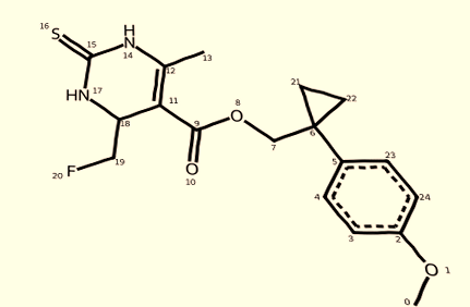 COc1ccc(C2(COC(=O)C3=C(C)NC(=S)NC3CF)CC2)cc1